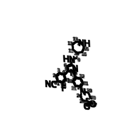 N#Cc1ccc(-c2cc(NC[C@@H]3CCCNCC3)nn2-c2ccc(N3CCS(=O)(=O)CC3)cc2)cc1F